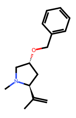 C=C(C)[C@@H]1C[C@@H](OCc2ccccc2)CN1C